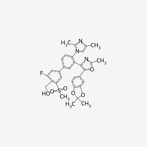 Cc1cn(-c2ccc(-c3cc(F)c(CO)c(S(C)(=O)=O)c3)cc2-c2nc(C)oc2-c2ccc3c(c2)OC(C)(C)O3)c(C)n1